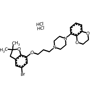 CC1(C)Cc2cc(Br)cc(OCCCN3CCN(c4cccc5c4OCCO5)CC3)c2O1.Cl.Cl